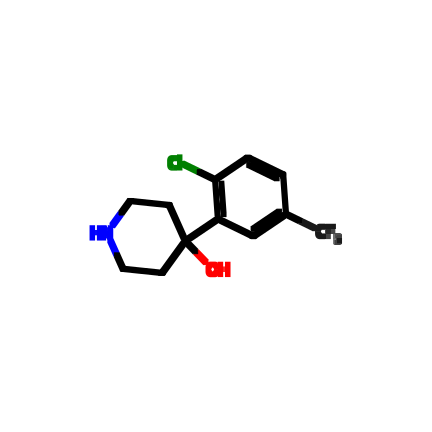 OC1(c2cc(C(F)(F)F)ccc2Cl)CCNCC1